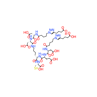 O=C(O)CCCc1cn(CCCCC(=O)N[C@@H](CC(=O)O)C(=O)N[C@@H](CC(=O)O)C(=O)NCCCC[C@H](NC(=O)[C@H](CCC(=O)O)NC(=O)[C@H](CC(=O)O)NC(=O)CCCCn2cc(CCCC(=O)O)nn2)C(=O)N[C@@H](CS)C(=O)O)nn1